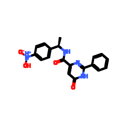 C[C@@H](NC(=O)c1cc(=O)[nH]c(-c2ccccc2)n1)c1ccc([N@@H+]([O-])O)cc1